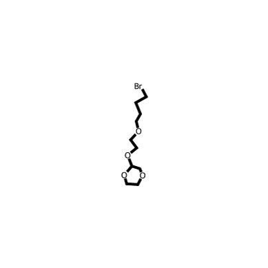 BrCCCCOCCOC1COCCO1